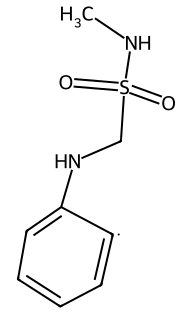 CNS(=O)(=O)CNc1[c]cccc1